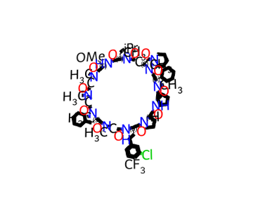 COC[C@@H]1NC(=O)[C@H](CC(C)C)N(C)C(=O)C[C@@H](C(=O)N2CCCCC2)N(C)C(=O)[C@H](C2CCCCC2)N(C)C(=O)C2(CCCC2)NC(=O)[C@@H]2CCCN2C(=O)[C@H](CCc2ccc(C(F)(F)F)c(Cl)c2)NC(=O)CN(C)C(=O)[C@H](CC2CCCCC2)N(C)C(=O)CN(C)C(=O)CN(C)C1=O